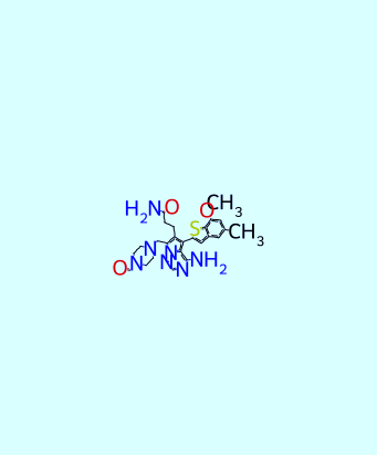 COc1cc(C)cc2cc(-c3c(CCC(N)=O)c(CN4CCN(C=O)CC4)n4ncnc(N)c34)sc12